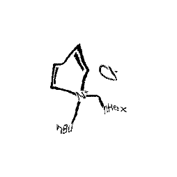 CCCCCC[N+]1(CCCC)C=CC=C1.[Cl-]